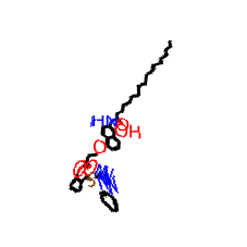 CCCCCCCCCCCCCCCCCC(=O)Nc1ccc2c(OCCC(=O)Oc3ccccc3CSc3nnnn3-c3ccccc3)cccc2c1O